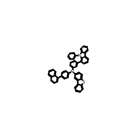 c1ccc(-n2c3ccccc3c3cccc(-c4cccc(N(c5ccc(-c6cccc7ccccc67)cc5)c5ccc6sc7ccccc7c6c5)c4)c32)cc1